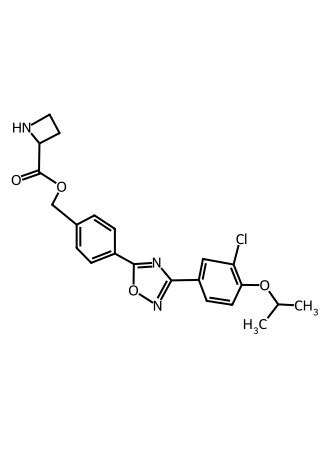 CC(C)Oc1ccc(-c2noc(-c3ccc(COC(=O)C4CCN4)cc3)n2)cc1Cl